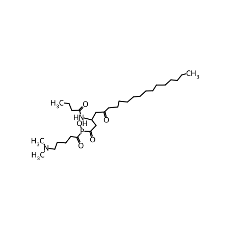 CCCCCCCCCCCCCCC(=O)CC(CC(=O)P(O)C(=O)CCCCN(C)C)NC(=O)CCC